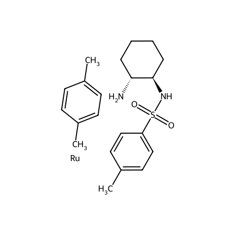 Cc1ccc(C)cc1.Cc1ccc(S(=O)(=O)N[C@@H]2CCCC[C@H]2N)cc1.[Ru]